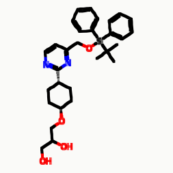 CC(C)(C)[Si](OCc1ccnc([C@H]2CC[C@H](OCC(O)CO)CC2)n1)(c1ccccc1)c1ccccc1